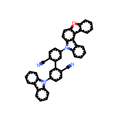 N#Cc1ccc(-n2c3ccccc3c3ccccc32)cc1-c1cc(-n2c3ccccc3c3c4c(ccc32)oc2ccccc24)ccc1C#N